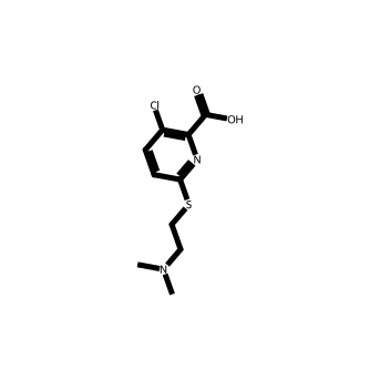 CN(C)CCSc1ccc(Cl)c(C(=O)O)n1